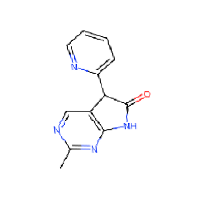 Cc1ncc2c(n1)NC(=O)C2c1ccccn1